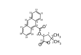 CC1(C)CC(OC(=O)c2c3ccccc3cc3ccccc23)C(=O)O1